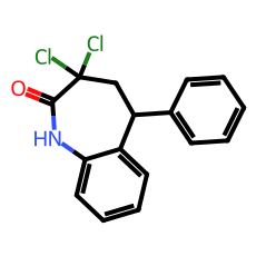 O=C1Nc2ccccc2C(c2ccccc2)CC1(Cl)Cl